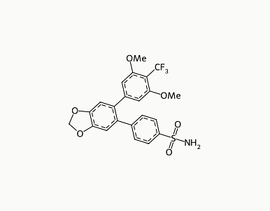 COc1cc(-c2cc3c(cc2-c2ccc(S(N)(=O)=O)cc2)OCO3)cc(OC)c1C(F)(F)F